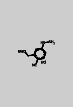 COCc1cc(NN)ccc1C#N.Cl